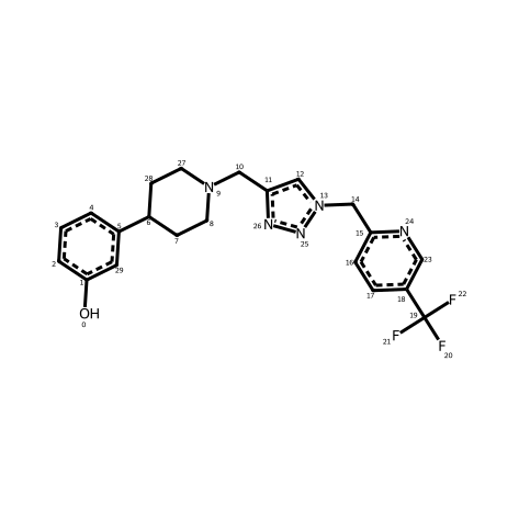 Oc1cccc(C2CCN(Cc3cn(Cc4ccc(C(F)(F)F)cn4)nn3)CC2)c1